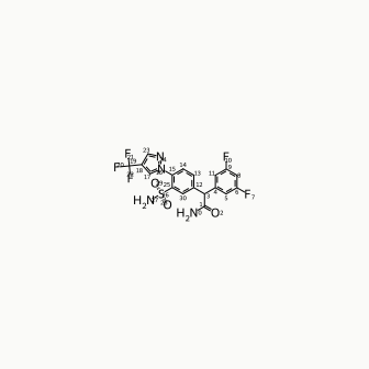 NC(=O)C(c1cc(F)cc(F)c1)c1ccc(-n2cc(C(F)(F)F)cn2)c(S(N)(=O)=O)c1